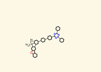 CC1(C)c2ccc(-c3ccc(-c4ccc(-c5nc(-c6ccccc6)nc(-c6ccccc6)n5)cc4)cc3)cc2-c2cc3c(cc21)oc1ccccc13